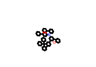 c1c(-c2ccccc2)ccc(N(c2cc(-c3ccc4c(c3)C(c3ccccc3)(c3ccccc3)c3ccccc3-4)c3oc4ccccc4c3c2)c2ccccc2C2=CC=CCC2)c#1